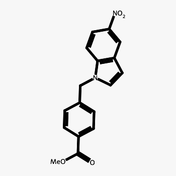 COC(=O)c1ccc(Cn2ccc3cc([N+](=O)[O-])ccc32)cc1